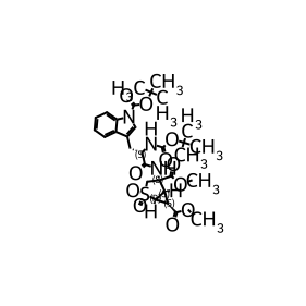 COC(=O)[C@@H]1[C@@H]2[C@H]1S(=O)(=O)C[C@@]2(NC(=O)[C@H](Cc1cn(C(=O)OC(C)(C)C)c2ccccc12)NC(=O)OC(C)(C)C)C(=O)OC